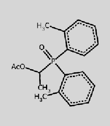 CC(=O)OC(C)P(=O)(c1ccccc1C)c1ccccc1C